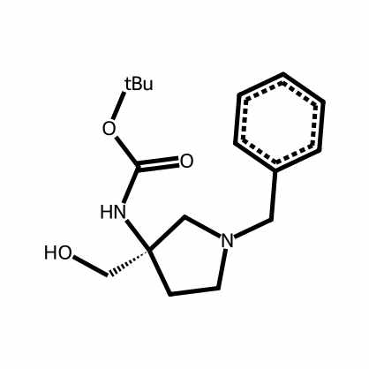 CC(C)(C)OC(=O)N[C@]1(CO)CCN(Cc2ccccc2)C1